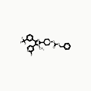 Cn1c(C2CCN(OC(=O)OCc3ccccc3)CC2)nc(-c2cccc(C(F)(F)F)c2)c1-c1ccnc(F)c1